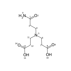 NC(=O)CCN(CCC(=O)O)CCC(=O)O